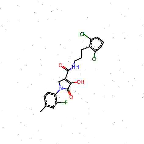 Cc1ccc(N2CC(C(=O)NCCCc3c(Cl)cccc3Cl)=C(O)C2=O)c(F)c1